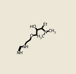 CCC(C(O)COCCNC=N)N(C)C